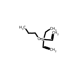 C=C[Si](C=C)(CC)OCCC